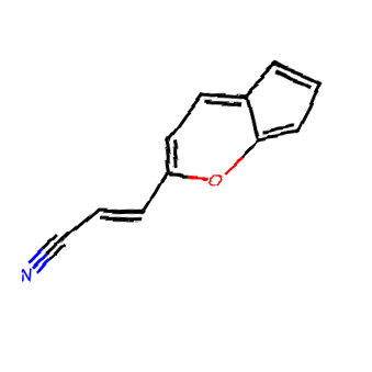 N#CC=Cc1ccc2cccc-2o1